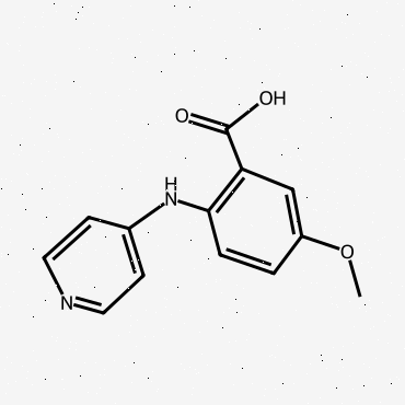 COc1ccc(Nc2ccncc2)c(C(=O)O)c1